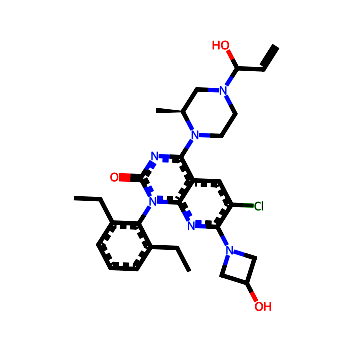 C=CC(O)N1CCN(c2nc(=O)n(-c3c(CC)cccc3CC)c3nc(N4CC(O)C4)c(Cl)cc23)[C@@H](C)C1